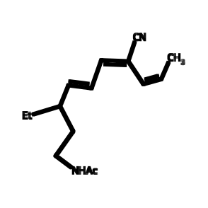 C\C=C/C(C#N)=C\C=C\C(CC)CCNC(C)=O